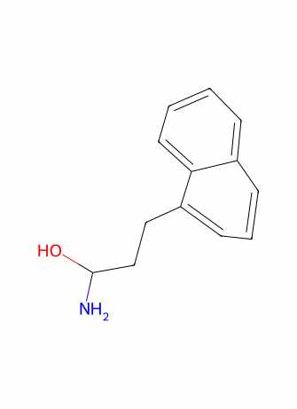 NC(O)CCc1cccc2ccccc12